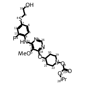 COc1c(Nc2ccc(SCCO)cc2F)ncnc1OC1CCN(OC(=O)OC(C)C)CC1